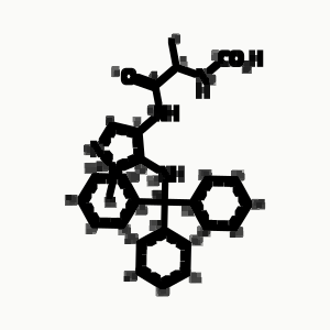 CC(NC(=O)O)C(=O)Nc1cnn(C)c1NC(c1ccccc1)(c1ccccc1)c1ccccc1